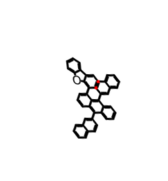 c1ccc2cc(-c3c4ccccc4c(-c4ccc5ccccc5c4)c4c(-c5cccc6c5oc5ccccc56)cccc34)ccc2c1